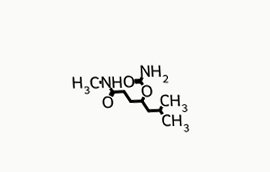 CNC(=O)CCC(CC(C)C)OC(N)=O